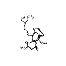 CCN(CC)CCOc1c2occc2c(O)c2c(=O)cc(C)oc12